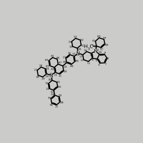 CC1(n2c3c(c4ccccc42)CCC(N(c2ccc(C4C=CC(N(C5=CCCCC5)C5C=CC(c6ccccc6)=CC5)=C5C=CCCC54)cc2)C2CCCCC2)C3)C=CCCC1